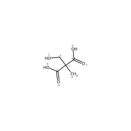 CC(CO)(C(=O)O)C(=O)O